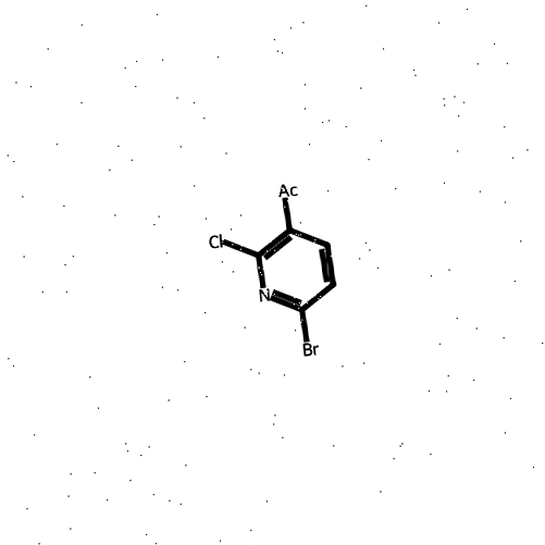 CC(=O)c1ccc(Br)nc1Cl